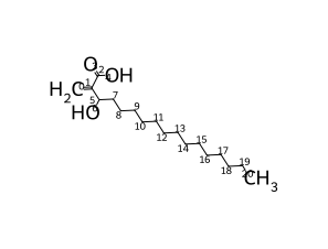 C=C(C(=O)O)C(O)CCCCCCCCCCCCCC